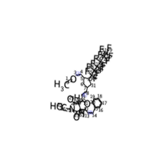 CCO/C=C\C1CC(/C=C/C2OC(/C=C\c3ccccc3)[C@@H]3C(=O)N(CCO)C(=O)[C@H]23)CC1C(F)(F)C(F)(F)C(F)(F)C(F)(F)C(F)(F)C(F)(F)F